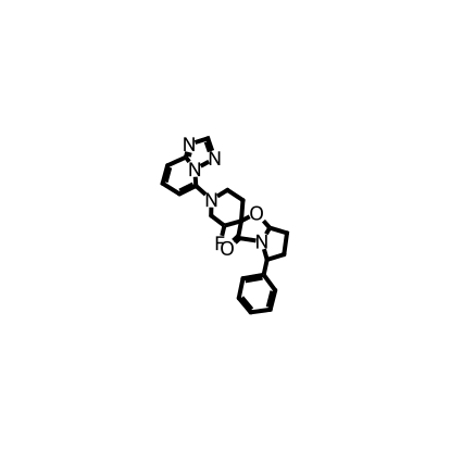 O=C1N2C(CCC2c2ccccc2)OC12CCN(c1cccc3ncnn13)CC2F